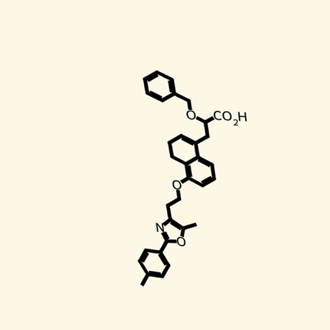 Cc1ccc(-c2nc(CCOc3cccc4c3CCC=C4CC(OCc3ccccc3)C(=O)O)c(C)o2)cc1